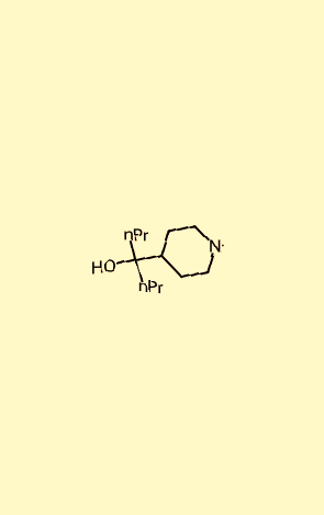 CCCC(O)(CCC)C1CC[N]CC1